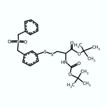 CC(C)(C)OC(=O)NC(CSSc1cccc(CS(=O)(=O)Cc2ccccc2)c1)C(=O)OC(C)(C)C